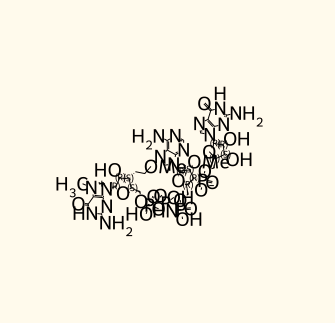 COCC[C@H]1[C@@H](O)[C@H](n2c[n+](C)c3c(=O)[nH]c(N)nc32)O[C@@H]1COP(=O)(O)OP(=O)(O)NP(=O)(O)OC[C@H]1O[C@@H](n2cnc3c(N)ncnc32)[C@H](OC)[C@@H]1P(=O)([O-])OC[C@H]1O[C@@H](n2cnc3c(=O)[nH]c(N)nc32)[C@H](O)[C@@H]1O